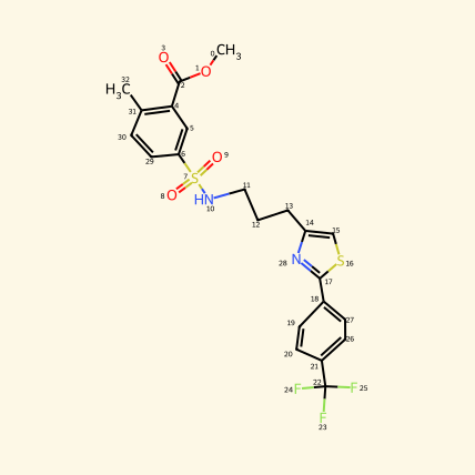 COC(=O)c1cc(S(=O)(=O)NCCCc2csc(-c3ccc(C(F)(F)F)cc3)n2)ccc1C